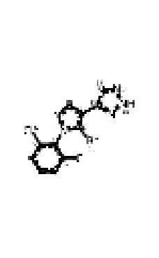 Clc1cccc(Cl)c1-n1ncc(-c2nn[nH]n2)c1Br